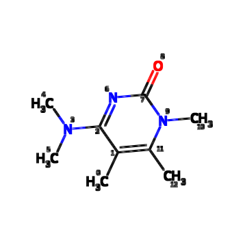 Cc1c(N(C)C)nc(=O)n(C)c1C